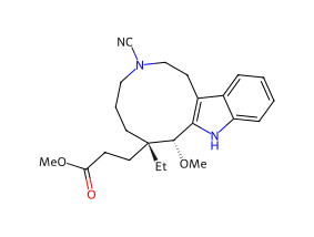 CC[C@@]1(CCC(=O)OC)CCCN(C#N)CCc2c([nH]c3ccccc23)[C@@H]1OC